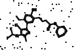 CCc1cc(O)c(CCCC(=O)Oc2ccccc2)cc1-c1nn(C)c(OC(F)F)c1Cl